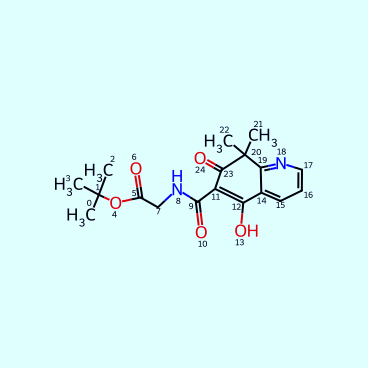 CC(C)(C)OC(=O)CNC(=O)C1=C(O)c2cccnc2C(C)(C)C1=O